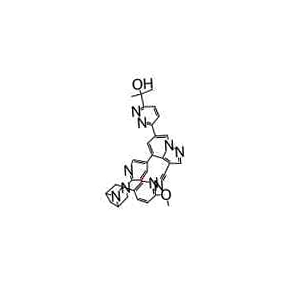 COc1ccc(CN2C3CC2CN(c2ccc(-c4cc(-c5ccc(C(C)(C)O)nn5)cn5ncc(C#N)c45)cn2)C3)cn1